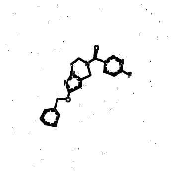 O=C(c1ccc(F)nc1)N1CCn2nc(OCc3ccccc3)cc2C1